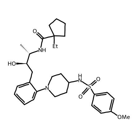 CCC1(C(=O)N[C@@H](C)[C@H](O)Cc2ccccc2N2CCC(NS(=O)(=O)c3ccc(OC)cc3)CC2)CCCC1